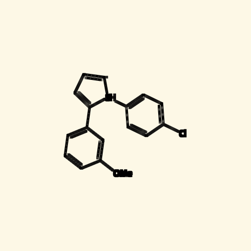 COc1cccc(C2=CC=[C][SH]2c2ccc(Cl)cc2)c1